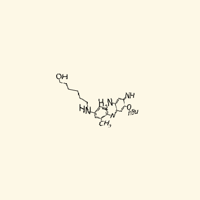 CCCCOC1=CC(=Nc2ccc(NCCCCCCO)cc2C)C(N)=CC1=N